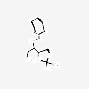 CC1(C)OCC(C(CC(=O)O)NCc2ccccc2)O1